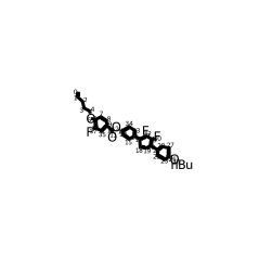 C=CCCCOc1ccc(C(=O)Oc2ccc(-c3ccc(-c4ccc(OCCCC)cc4)c(F)c3F)cc2)cc1F